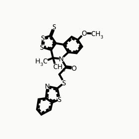 COc1ccc2c(c1)-c1c(ssc1=S)C(C)(C)N2C(=O)CSc1nc2ccccc2s1